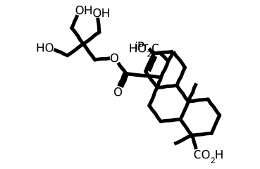 CC(C)C1=CC23CCC4C(C)(C(=O)O)CCCC4(C)C2CC1C(C(=O)O)C3C(=O)OCC(CO)(CO)CO